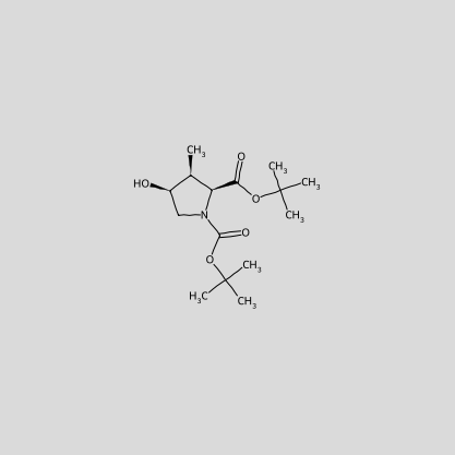 C[C@@H]1[C@H](O)CN(C(=O)OC(C)(C)C)[C@@H]1C(=O)OC(C)(C)C